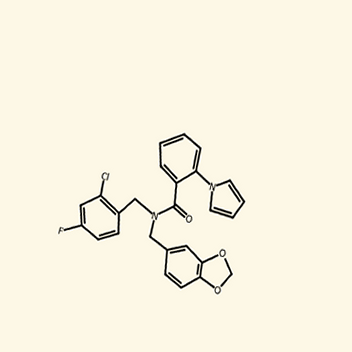 O=C(c1ccccc1-n1cccc1)N(Cc1ccc2c(c1)OCO2)Cc1ccc(F)cc1Cl